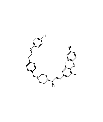 Cc1cc(C=CC(=O)N2CCN(Cc3ccc(CCOc4ccc(Cl)cc4)cc3)CC2)cc(Cl)c1Oc1ccc(O)cn1